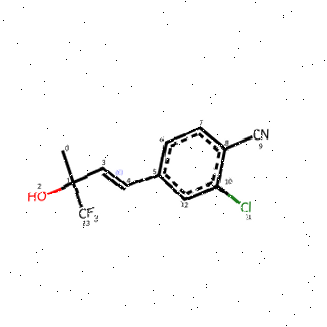 CC(O)(/C=C/c1ccc(C#N)c(Cl)c1)C(F)(F)F